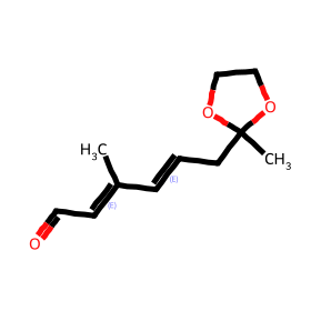 CC(/C=C/CC1(C)OCCO1)=C\C=O